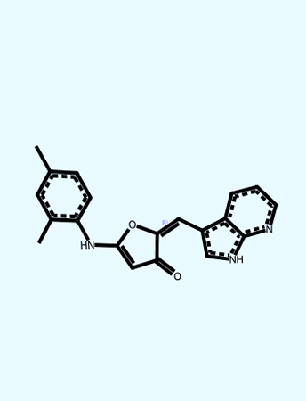 Cc1ccc(NC2=CC(=O)/C(=C\c3c[nH]c4ncccc34)O2)c(C)c1